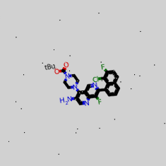 CC(C)(C)OC(=O)N1CCN(c2c(N)cnc3c(F)c(-c4cccc5ccc(F)c(Cl)c45)ncc23)CC1